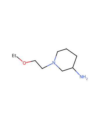 CCOCCN1CCCC(N)C1